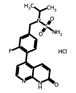 CC(C)N(Cc1ccc(-c2ccnc3[nH]c(=O)ccc23)c(F)c1)S(N)(=O)=O.Cl